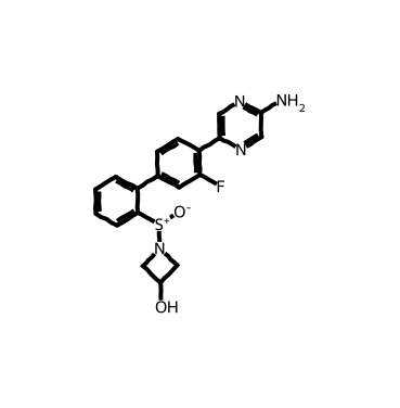 Nc1cnc(-c2ccc(-c3ccccc3[S+]([O-])N3CC(O)C3)cc2F)cn1